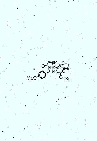 CCC[C@](C)(OC)[C@H](NC(=O)OC(C)(C)C)[C@H]1C=CC(=O)N1Cc1ccc(OC)cc1